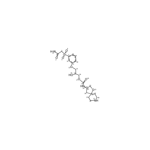 NC(=O)CS(=O)(=O)c1cccc(OCC(O)COC(=O)N[C@H]2COC3(CCNCC3)C2)c1